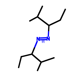 CCC(/N=N/C(CC)C(C)C)C(C)C